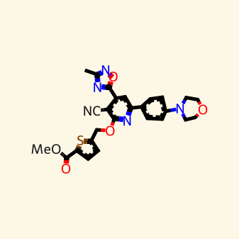 COC(=O)c1ccc(COc2nc(-c3ccc(N4CCOCC4)cc3)cc(-c3nc(C)no3)c2C#N)s1